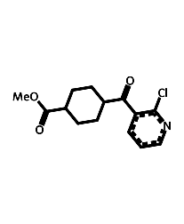 COC(=O)C1CCC(C(=O)c2cccnc2Cl)CC1